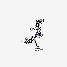 COCC[N+]1=C(/C=C/C=C/C=C2/N(CCCCCC(=O)O)c3ccc(S(=O)(=O)O)cc3C2(C)C)C(C)(CCCS(=O)(=O)O)c2cc(S(=O)(=O)O)ccc21